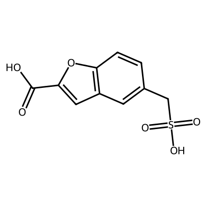 O=C(O)c1cc2cc(CS(=O)(=O)O)ccc2o1